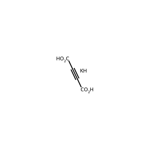 O=C(O)C#CC(=O)O.[KH]